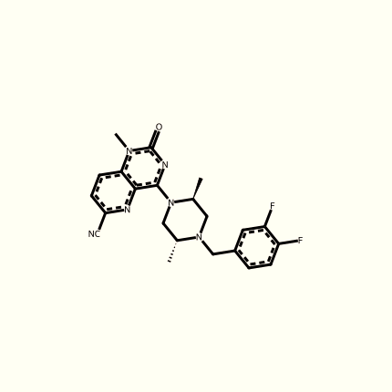 C[C@@H]1CN(c2nc(=O)n(C)c3ccc(C#N)nc23)[C@@H](C)CN1Cc1ccc(F)c(F)c1